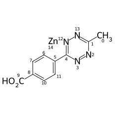 Cc1nnc(-c2ccc(C(=O)O)cc2)nn1.[Zn]